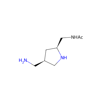 CC(=O)NC[C@@H]1C[C@H](CN)CN1